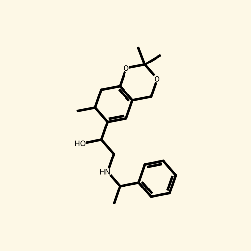 CC1CC2=C(C=C1C(O)CNC(C)c1ccccc1)COC(C)(C)O2